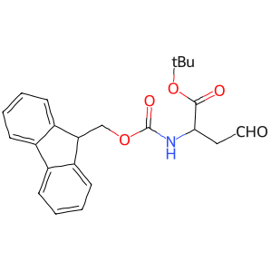 CC(C)(C)OC(=O)C(CC=O)NC(=O)OCC1c2ccccc2-c2ccccc21